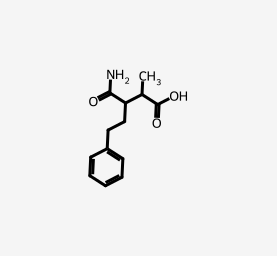 CC(C(=O)O)C(CCc1ccccc1)C(N)=O